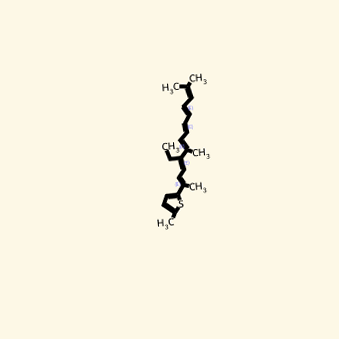 CCC(=C\C=C(/C)c1ccc(C)s1)/C(C)=C/C=C/C=C/C=C(C)C